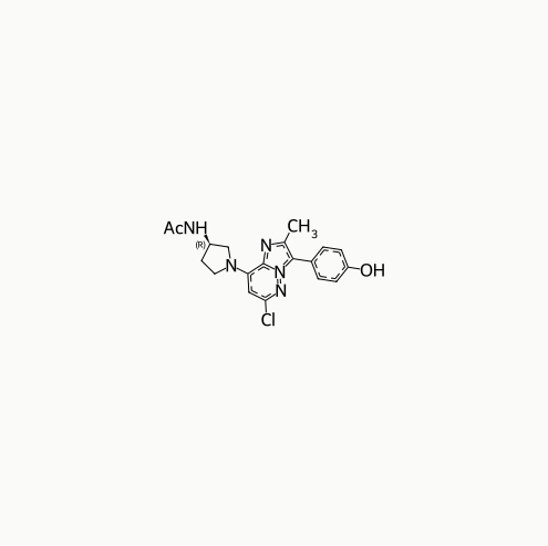 CC(=O)N[C@@H]1CCN(c2cc(Cl)nn3c(-c4ccc(O)cc4)c(C)nc23)C1